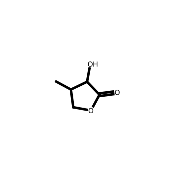 CC1COC(=O)C1O